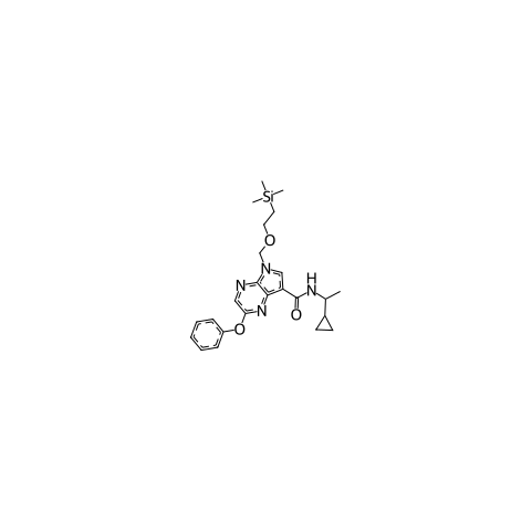 CC(NC(=O)c1cn(COCC[Si](C)(C)C)c2ncc(Oc3ccccc3)nc12)C1CC1